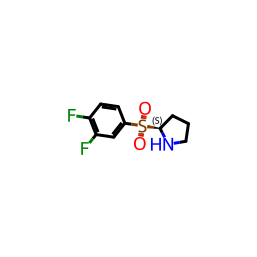 O=S(=O)(c1ccc(F)c(F)c1)[C@H]1CCCN1